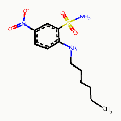 CCCCCCNc1ccc([N+](=O)[O-])cc1S(N)(=O)=O